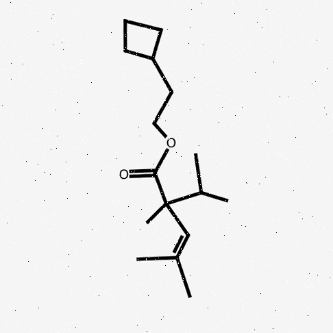 CC(C)=CC(C)(C(=O)OCCC1CCC1)C(C)C